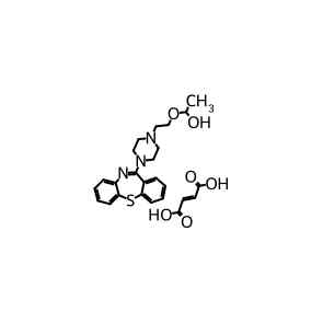 CC(O)OCCN1CCN(C2=Nc3ccccc3Sc3ccccc32)CC1.O=C(O)/C=C/C(=O)O